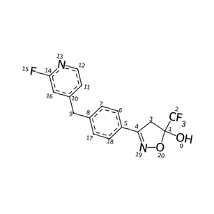 OC1(C(F)(F)F)CC(c2ccc(Cc3ccnc(F)c3)cc2)=NO1